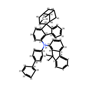 CC1(C)c2ccccc2-c2cccc(N(c3ccc(-c4ccccc4)cc3)c3cccc4c3-c3ccccc3C43C4CC5CC(C4)CC3C5)c21